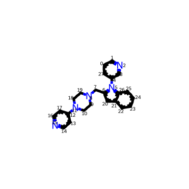 c1cncc(-n2c(CN3CCN(c4ccncc4)CC3)cc3ccccc32)c1